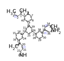 C=C(/C=C\C)c1cccc(-c2cc(-c3cccc(C(=C)/C=C\C=N)c3)cc(-c3cccc(C(/C=C\C)=C/N)c3)c2)c1